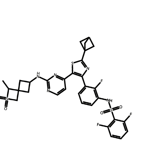 CC1C2(CC(Nc3nccc(-c4sc(C56CC(C5)C6)nc4-c4cccc(NS(=O)(=O)c5c(F)cccc5F)c4F)n3)C2)CS1(=O)=O